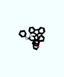 CC(C1(CC(=O)Oc2ccccc2)c2ccccc2-c2ccccc21)C1(Cc2ccccc2)c2ccccc2-c2ccccc21